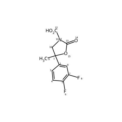 CC1(c2ccc(F)c(F)c2)CN(C(=O)O)C(=O)O1